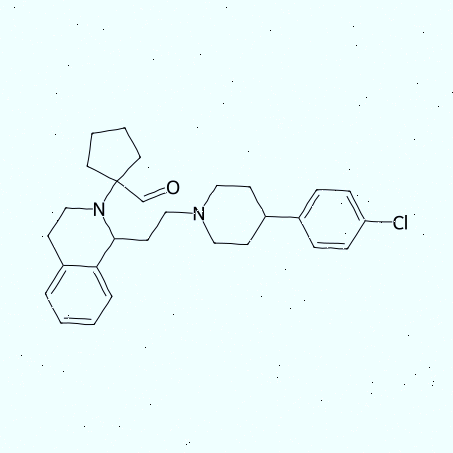 O=CC1(N2CCc3ccccc3C2CCN2CCC(c3ccc(Cl)cc3)CC2)CCCC1